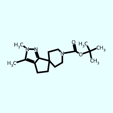 Cc1c2c(nn1C)C1(CC2)CCN(C(=O)OC(C)(C)C)CC1